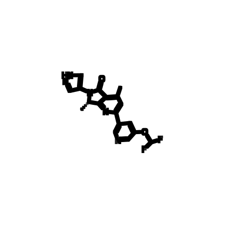 Cc1cc(-c2cncc(OC(F)F)c2)nc2c1C(=O)N(c1cn[nH]c1)[C@H]2C